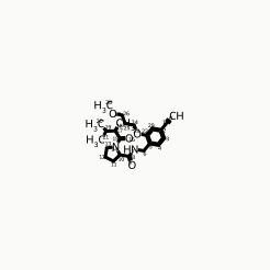 C#Cc1ccc(CNC(=O)C2CCCN2C(=O)C(C)C(C)C)c(OCCCOC)c1